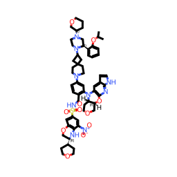 CC(C)Oc1ccccc1[C@@H]1CN([C@H]2CCCOC2)CCN1C1CC2(CCN(c3ccc(C(=O)NS(=O)(=O)c4cc5c(c([N+](=O)[O-])c4)N[C@H](C4CCOCC4)CO5)c(N4c5cc6cc[nH]c6nc5O[C@H]5COCC[C@@H]54)c3)CC2)C1